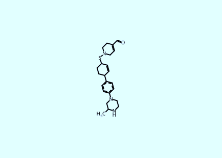 CC1CN(c2ccc(C3C=CC(SN4CC=C(C=O)CC4)CC3)cc2)CCN1